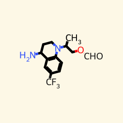 CC(COC=O)N1CCC(N)c2cc(C(F)(F)F)ccc21